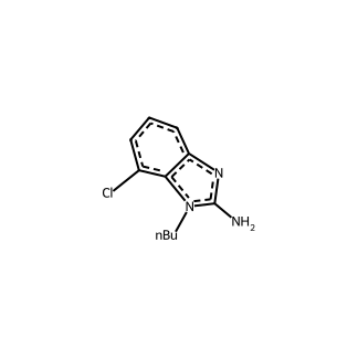 CCCCn1c(N)nc2cccc(Cl)c21